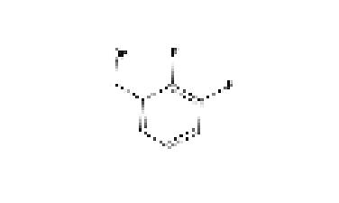 Fc1cccc([CH]Br)c1F